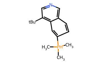 CC(C)(C)c1cncc2ccc([PH](C)(C)C)cc12